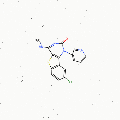 CNc1nc(=O)n(-c2cccnc2)c2c1sc1ccc(Cl)cc12